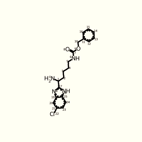 NC(CCCCNC(=O)OCc1ccccc1)c1nc2cc(Cl)ccc2[nH]1